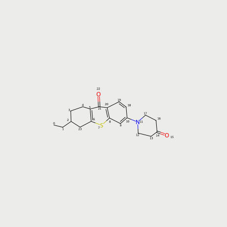 CCC1CCc2c(sc3cc(N4CCC(=O)CC4)ccc3c2=O)C1